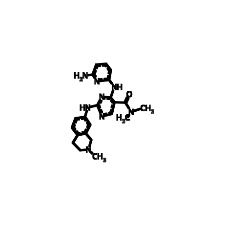 CN1CCc2ccc(Nc3ncc(C(=O)N(C)C)c(Nc4cccc(N)n4)n3)cc2C1